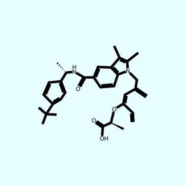 C=C/C(=C\C(=C)Cn1c(C)c(C)c2cc(C(=O)N[C@@H](C)c3ccc(C(C)(C)C)cc3)ccc21)O[C@@H](C)C(=O)O